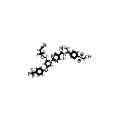 CCS(=O)(=O)c1ccc([C@H](CO)NC(=O)c2cnc(N3CC(Oc4ccc(C(F)(F)F)cc4)C[C@H]3COC(F)(F)CC#N)nc2)cc1